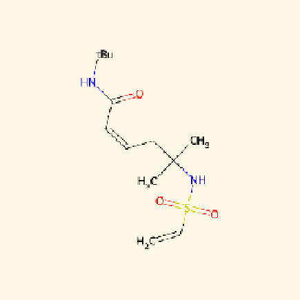 C=CS(=O)(=O)NC(C)(C)C/C=C\C(=O)NC(C)(C)C